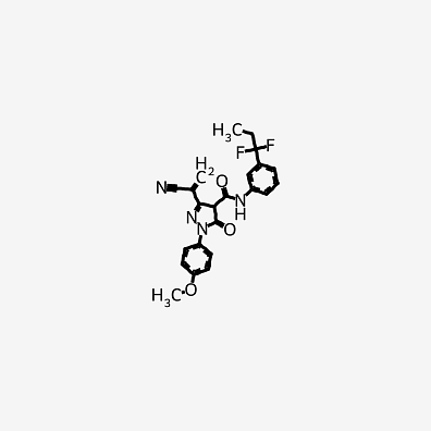 C=C(C#N)C1=NN(c2ccc(OC)cc2)C(=O)C1C(=O)Nc1cccc(C(F)(F)CC)c1